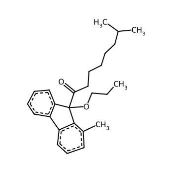 CCCOC1(C(=O)CCCCCC(C)C)c2ccccc2-c2cccc(C)c21